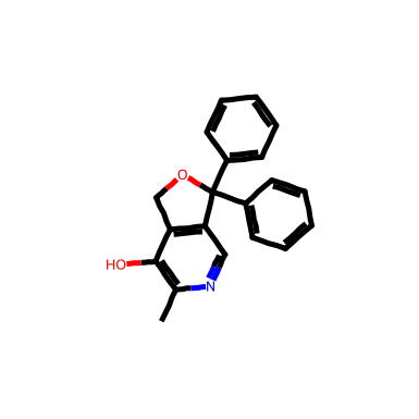 Cc1ncc2c(c1O)COC2(c1ccccc1)c1ccccc1